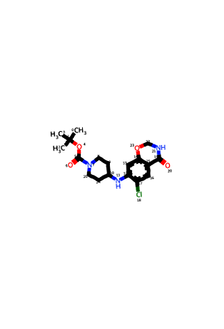 CC(C)(C)OC(=O)N1CCC(Nc2cc3c(cc2Cl)C(=O)NCO3)CC1